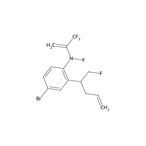 C=CCC(CF)c1cc(Br)ccc1N(F)C(=C)C(F)(F)F